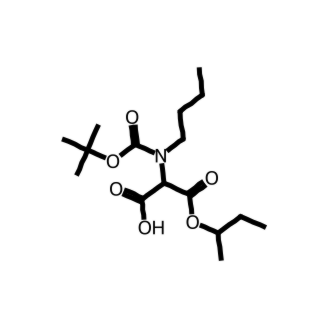 CCCCN(C(=O)OC(C)(C)C)C(C(=O)O)C(=O)OC(C)CC